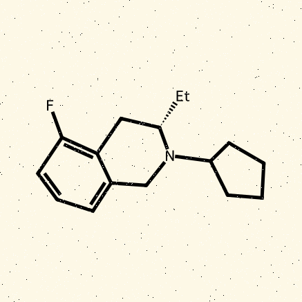 CC[C@H]1Cc2c(F)cccc2CN1C1CCCC1